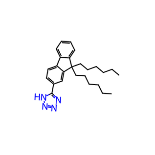 CCCCCCC1(CCCCCC)c2ccccc2-c2ccc(-c3nnn[nH]3)cc21